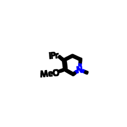 COC1=C(C(C)C)CCN(C)C1